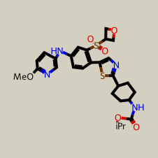 COc1ccc(Nc2ccc(-c3cnc(C4CCC(NC(=O)OC(C)C)CC4)s3)c(S(=O)(=O)C3COC3)c2)cn1